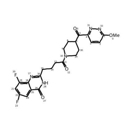 COc1ccc(C(=O)C2CCN(C(=O)CCCc3nc4c(F)cc(F)cc4c(=O)[nH]3)CC2)nn1